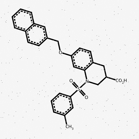 Cc1cccc(S(=O)(=O)N2CC(C(=O)O)Cc3ccc(OCc4ccc5ccccc5c4)cc32)c1